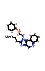 COCCc1nc2cnc3ccccc3c2n1CCOc1ccccc1